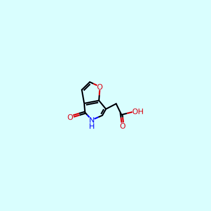 O=C(O)Cc1c[nH]c(=O)c2ccoc12